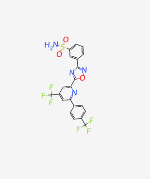 NS(=O)(=O)c1cccc(-c2noc(-c3cc(C(F)(F)F)cc(-c4ccc(C(F)(F)F)cc4)n3)n2)c1